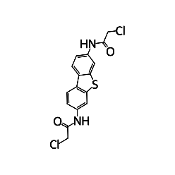 O=C(CCl)Nc1ccc2c(c1)sc1cc(NC(=O)CCl)ccc12